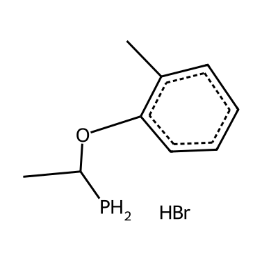 Br.Cc1ccccc1OC(C)P